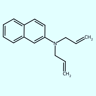 C=CCN(CC=C)c1ccc2ccccc2c1